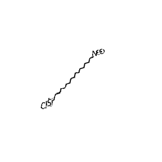 C[Si](C)(Cl)CCCCCCCCCCCCCCCCCN=C=O